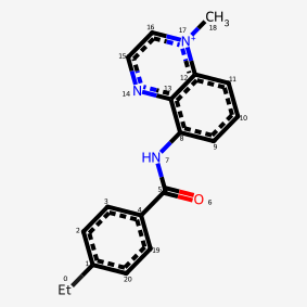 CCc1ccc(C(=O)Nc2cccc3c2ncc[n+]3C)cc1